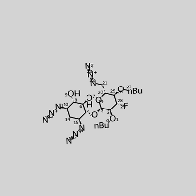 CCCCO[C@H]1[C@@H](O[C@H]2[C@H](O)[C@@H](O)[C@H](N=[N+]=[N-])C[C@@H]2N=[N+]=[N-])O[C@H](CN=[N+]=[N-])[C@@H](OCCCC)[C@@H]1F